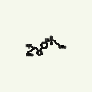 CNCCN(C)CC1=CCN=C1c1ccc(NS(=O)(=O)CCCOC)cc1